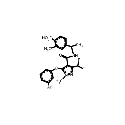 CC(=O)c1cccc(Oc2c(C(=O)NC(C)c3ccc(C(=O)O)c(C)c3)c(C(F)F)nn2C)c1